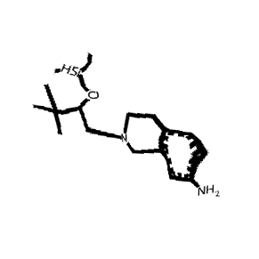 C[SiH](C)OC(CN1CCc2ccc(N)cc2C1)C(C)(C)C